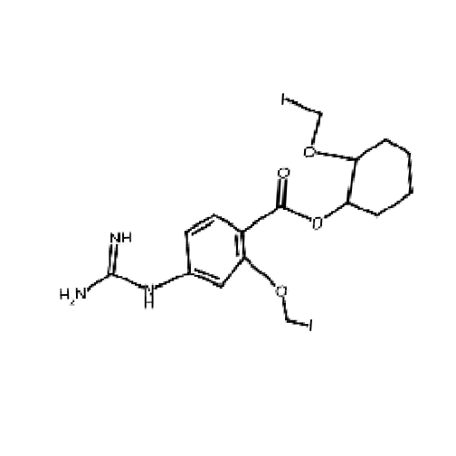 N=C(N)Nc1ccc(C(=O)OC2CCCCC2OCI)c(OCI)c1